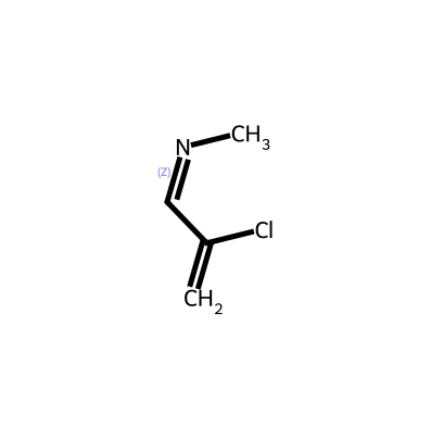 C=C(Cl)/C=N\C